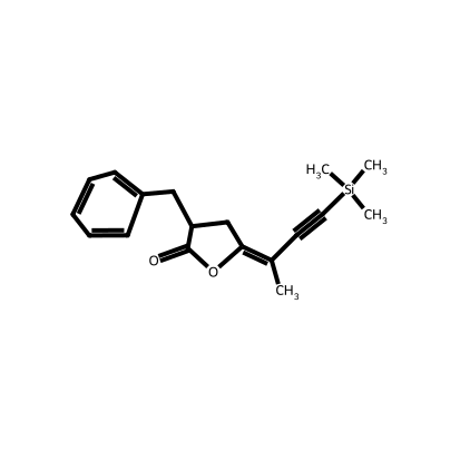 CC(C#C[Si](C)(C)C)=C1CC(Cc2ccccc2)C(=O)O1